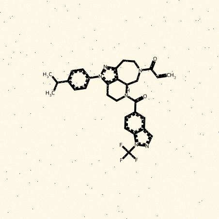 C=CC(=O)N1CCc2nn(-c3ccc(C(C)C)cc3)c3c2[C@H](C1)N(C(=O)c1ccc2c(cnn2C(F)(F)F)c1)CC3